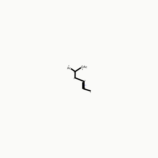 [CH2]C(=O)C(C/C=C/C)OC(C)=O